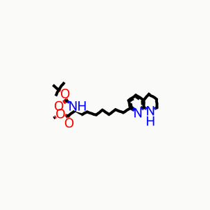 COC(=O)[C@H](CCCCCCCc1ccc2c(n1)NCCC2)NC(=O)OC(C)(C)C